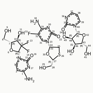 Nc1ccn([C@@H]2O[C@H](CO)[C@@H](O)C2(F)F)c(=O)n1.Nc1nc(=O)n([C@@H]2CS[C@H](CO)O2)cc1F.O=c1ncccn1[C@@H]1O[C@H](CO)[C@@H](O)[C@H]1O